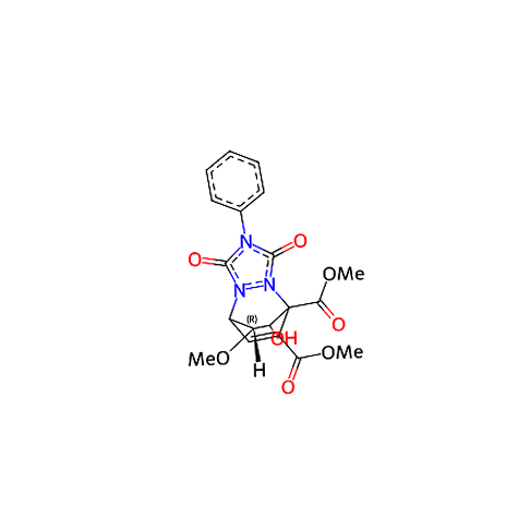 COC(=O)C1=CC2[C@@H](OC)C(O)C1(C(=O)OC)n1c(=O)n(-c3ccccc3)c(=O)n12